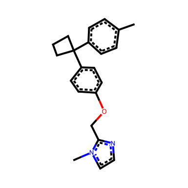 Cc1ccc(C2(c3ccc(OCc4nccn4C)cc3)CCC2)cc1